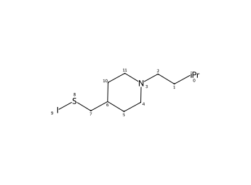 CC(C)CCN1CCC(CSI)CC1